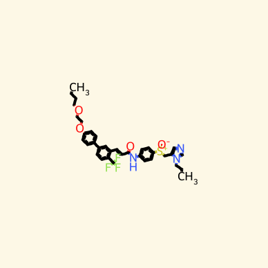 CCCCOCCOc1ccc(-c2ccc(C(F)(F)F)c(/C=C/C(=O)Nc3ccc([S@@+]([O-])Cc4cncn4CCC)cc3)c2)cc1